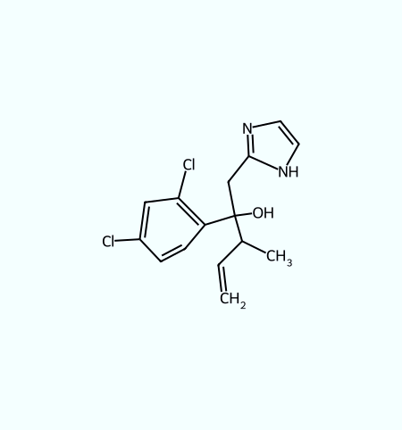 C=CC(C)C(O)(Cc1ncc[nH]1)c1ccc(Cl)cc1Cl